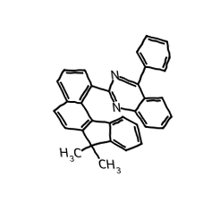 CC1(C)c2ccccc2-c2c1ccc1cccc(-c3nc(-c4ccccc4)c4ccccc4n3)c21